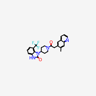 Cc1cc2ncccc2cc1CC(=O)N1CCC(n2c(=O)[nH]c3cccc(C(F)(F)F)c32)CC1